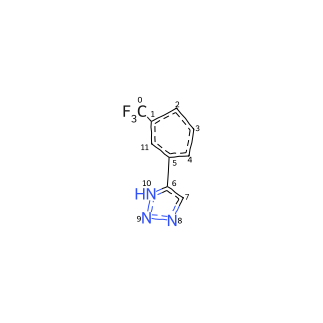 FC(F)(F)c1cccc(-c2cnn[nH]2)c1